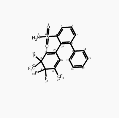 NS(=O)(=O)c1cccc(-c2ccccc2)c1C1=CC(F)(C(F)(F)F)C(F)(F)C(C(F)(F)F)=C1